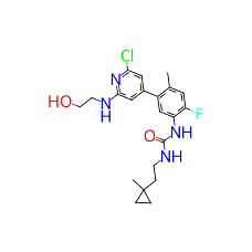 Cc1cc(F)c(NC(=O)NCCC2(C)CC2)cc1-c1cc(Cl)nc(NCCO)c1